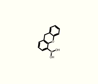 OB(O)c1cccc2c1Oc1ccccc1C2